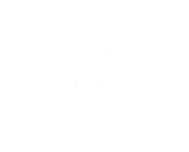 [AsH2]CCc1ccccc1